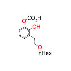 CCCCCCOCCc1cccc(OC(=O)O)c1O